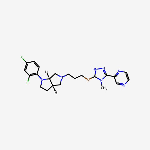 CN1C(c2cnccn2)=NNC1SCCCN1C[C@@H]2CCN(c3ccc(F)cc3F)[C@@H]2C1